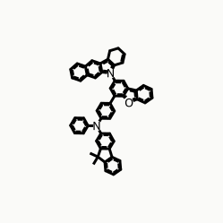 CC1(C)c2ccccc2-c2ccc(N(c3ccccc3)c3ccc(-c4cc(-n5c6c(c7cc8ccccc8cc75)CCC=C6)cc5c4oc4ccccc45)cc3)cc21